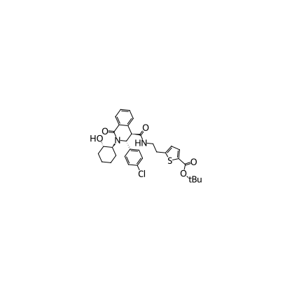 CC(C)(C)OC(=O)c1ccc(CCNC(=O)[C@@H]2c3ccccc3C(=O)N([C@H]3CCCC[C@@H]3O)[C@H]2c2ccc(Cl)cc2)s1